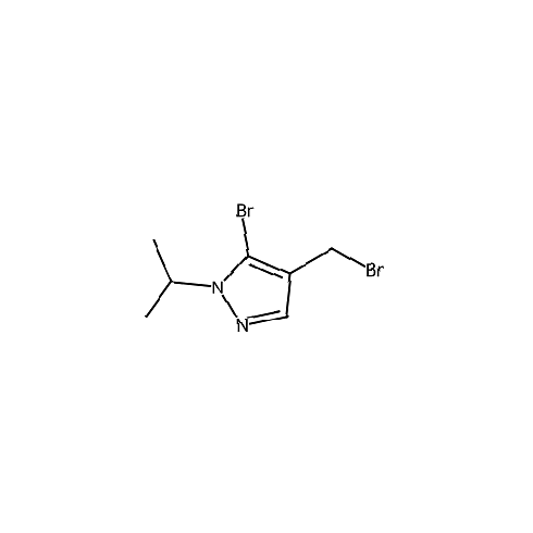 CC(C)n1ncc(CBr)c1Br